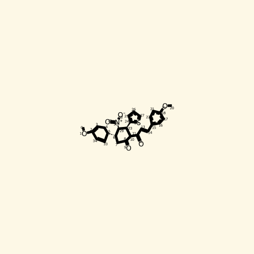 COC1=CCC([C@H]2CC(=O)C(C(=O)/C=C/c3ccc(OC)cc3)[C@H](c3cccs3)[C@H]2[N+](=O)[O-])C=C1